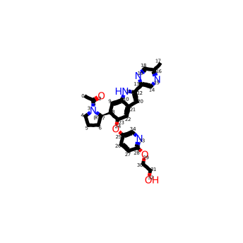 CC(=O)N1CCC[C@@H]1C1C=c2[nH]c(-c3cnc(C)cn3)cc2=CC1Oc1ccc(OCCO)nc1